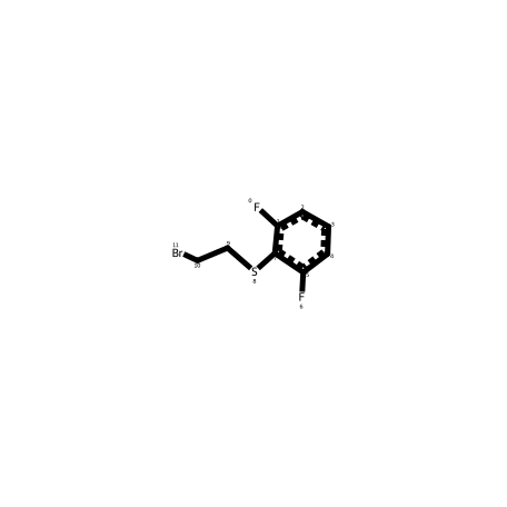 Fc1cccc(F)c1SCCBr